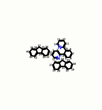 c1ccc(-c2ccccc2-c2ccccn2)nc1.c1ccc2c(c1)Cc1ccccc1-2.c1ccc2c(c1)Cc1ccccc1-2